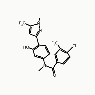 CN(C(=O)c1ccc(Cl)c(C(F)(F)F)c1)c1ccc(-c2cc(C(F)(F)F)n(C)n2)c(O)c1